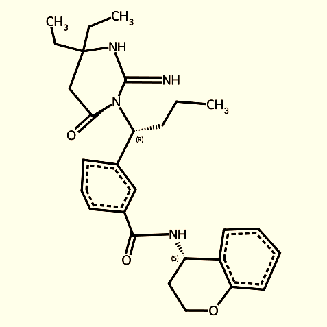 CCC[C@H](c1cccc(C(=O)N[C@H]2CCOc3ccccc32)c1)N1C(=N)NC(CC)(CC)CC1=O